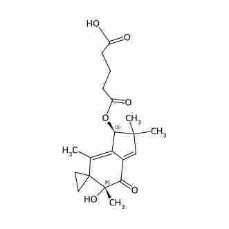 CC1=C2C(=CC(C)(C)[C@@H]2OC(=O)CCCC(=O)O)C(=O)[C@](C)(O)C12CC2